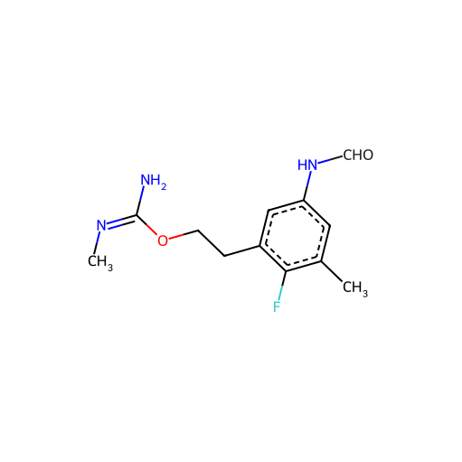 C/N=C(/N)OCCc1cc(NC=O)cc(C)c1F